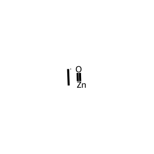 [CH2]C.[O]=[Zn]